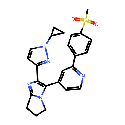 CS(=O)(=O)c1ccc(-c2cc(-c3c(-c4ccn(C5CC5)n4)nc4n3CCC4)ccn2)cc1